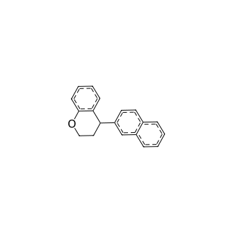 c1ccc2c(c1)OCCC2c1ccc2ccccc2c1